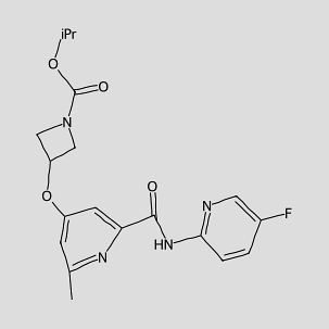 Cc1cc(OC2CN(C(=O)OC(C)C)C2)cc(C(=O)Nc2ccc(F)cn2)n1